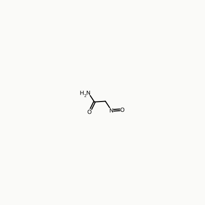 NC(=O)CN=O